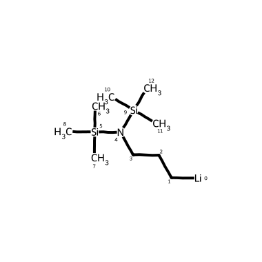 [Li][CH2]CCN([Si](C)(C)C)[Si](C)(C)C